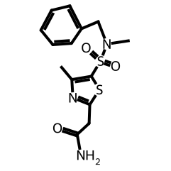 Cc1nc(CC(N)=O)sc1S(=O)(=O)N(C)Cc1ccccc1